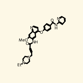 CCN1CCN(CC#CC(=O)Nc2cc3c(Oc4ccc(C(=O)Nc5ccccn5)cc4)ccnc3cc2OC)CC1